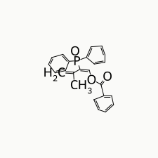 C=C(C)/C(=C\OC(=O)c1ccccc1)P(=O)(c1ccccc1)c1ccccc1